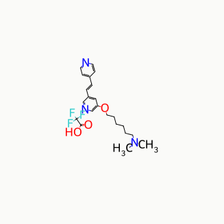 CN(C)CCCCCCOc1cncc(/C=C/c2ccncc2)c1.O=C(O)C(F)(F)F